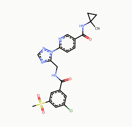 CS(=O)(=O)c1cc(Cl)cc(C(=O)NCc2ncnn2-c2ccc(C(=O)NC3(C#N)CC3)cn2)c1